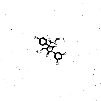 CCOC(=O)[C@@]1(c2ccc(Br)cc2)C(=O)N(c2cc(Cl)cc(Cl)c2)C(=O)C1CC